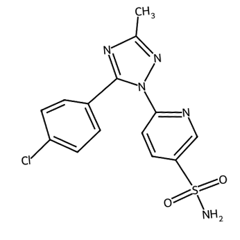 Cc1nc(-c2ccc(Cl)cc2)n(-c2ccc(S(N)(=O)=O)cn2)n1